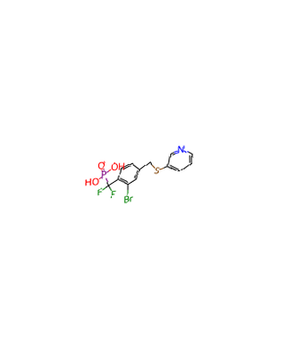 O=P(O)(O)C(F)(F)c1ccc(CSc2cccnc2)cc1Br